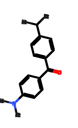 CCC(CC)c1ccc(C(=O)c2ccc(N(CC)CC)cc2)cc1